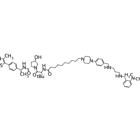 Cc1ncsc1-c1ccc([C@H](C)NC(=O)[C@@H]2C[C@@H](O)CN2C(=O)C(NC(=O)CCCCCCCCCN2CCN(c3ccc(CNCCCNCc4ccccc4N(C)C)cc3)CC2)C(C)(C)C)cc1